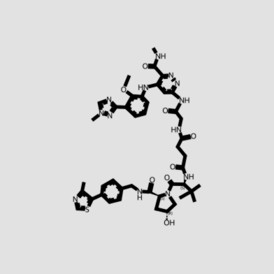 CNC(=O)c1nnc(NC(=O)CNC(=O)CCC(=O)N[C@H](C(=O)N2C[C@H](O)C[C@H]2C(=O)NCc2ccc(-c3scnc3C)cc2)C(C)(C)C)cc1Nc1cccc(-c2ncn(C)n2)c1OC